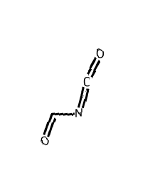 O=C=NC=O